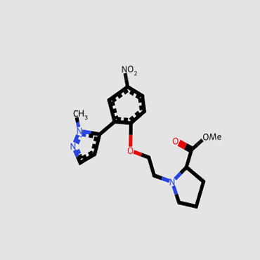 COC(=O)C1CCCN1CCOc1ccc([N+](=O)[O-])cc1-c1ccnn1C